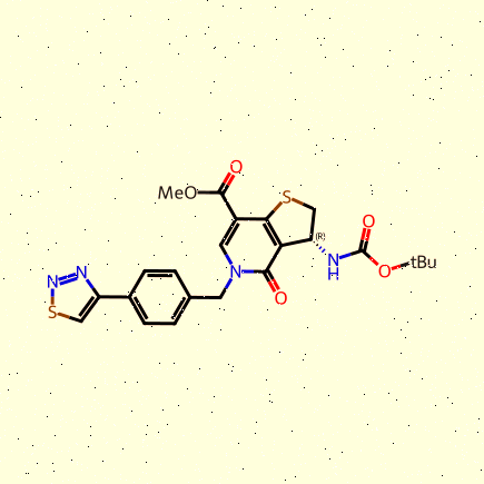 COC(=O)c1cn(Cc2ccc(-c3csnn3)cc2)c(=O)c2c1SC[C@@H]2NC(=O)OC(C)(C)C